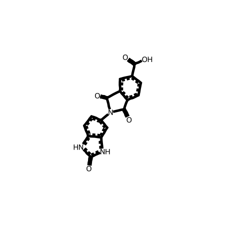 O=C(O)c1ccc2c(c1)C(=O)N(c1ccc3[nH]c(=O)[nH]c3c1)C2=O